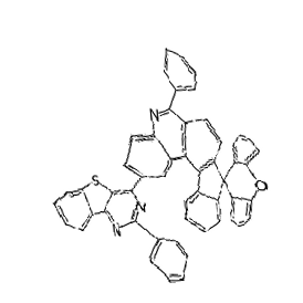 c1ccc(-c2nc(-c3ccc4nc(-c5ccccc5)c5ccc6c(c5c4c3)-c3ccccc3C63c4ccccc4Oc4ccccc43)c3sc4ccccc4c3n2)cc1